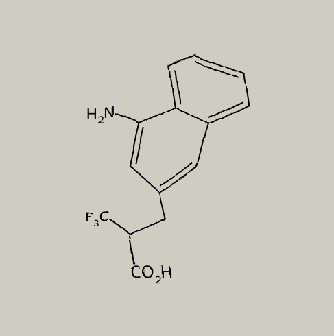 Nc1cc(CC(C(=O)O)C(F)(F)F)cc2ccccc12